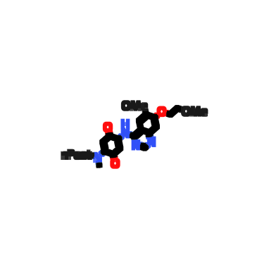 CCCCCN(C)C1=CC(=O)C(Nc2ncnc3cc(OCCOC)c(OC)cc23)=CC1=O